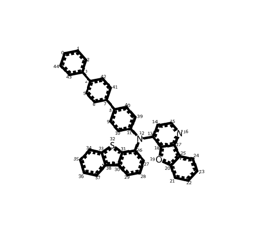 c1ccc(-c2ccc(-c3ccc(N(c4ccnc5c4oc4ccccc45)c4cccc5c4sc4ccccc45)cc3)cc2)cc1